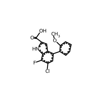 COc1ccccc1-c1cc(Cl)c(F)c2[nH]c(C(=O)O)cc12